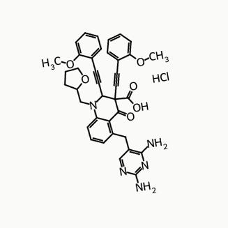 COc1ccccc1C#CC1N(CC2CCCO2)c2cccc(Cc3cnc(N)nc3N)c2C(=O)C1(C#Cc1ccccc1OC)C(=O)O.Cl